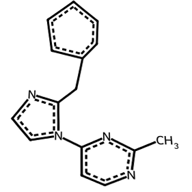 Cc1nccc(-n2ccnc2Cc2ccccc2)n1